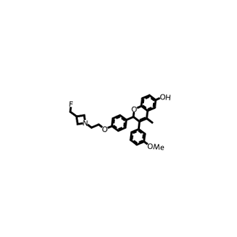 COc1cccc(C2=C(C)c3cc(O)ccc3OC2c2ccc(OCCN3CC(CF)C3)cc2)c1